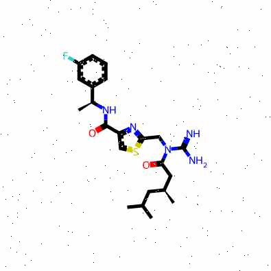 CC(C)C[C@H](C)CC(=O)N(Cc1nc(C(=O)N[C@@H](C)c2cccc(F)c2)cs1)C(=N)N